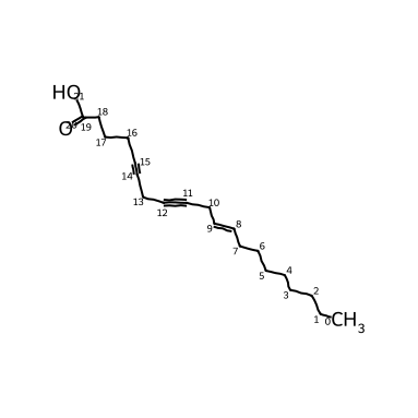 CCCCCCCCC=CCC#CCC#CCCCC(=O)O